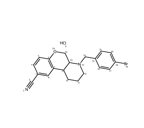 Cl.N#Cc1ccc2c(c1)C1CCCN(Cc3ccc(Br)cc3)C1CO2